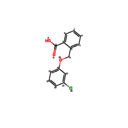 O=C(O)c1ccccc1COc1cccc(Cl)c1